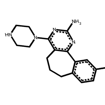 Nc1nc2c(c(N3CCNCC3)n1)CCCc1ccc(F)cc1-2